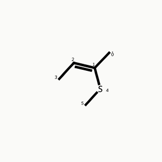 [CH2]C(=CC)SC